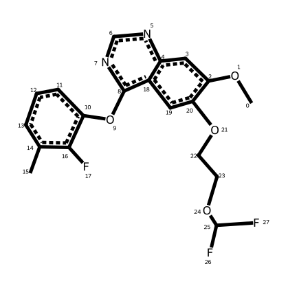 COc1cc2ncnc(Oc3cccc(C)c3F)c2cc1OCCOC(F)F